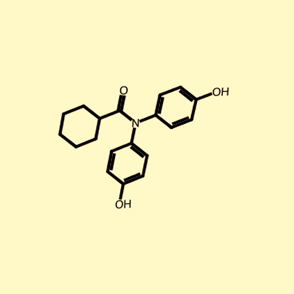 O=C(C1CCCCC1)N(c1ccc(O)cc1)c1ccc(O)cc1